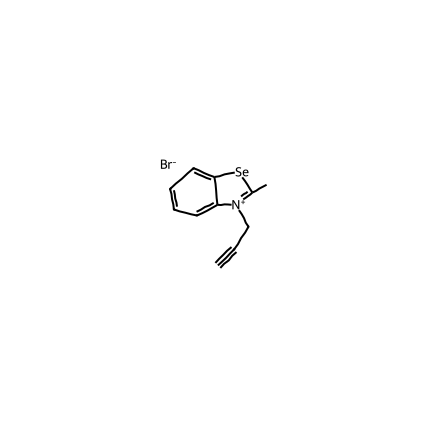 C#CC[n+]1c(C)[se]c2ccccc21.[Br-]